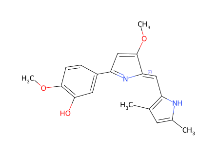 COC1=CC(c2ccc(OC)c(O)c2)=N/C1=C\c1[nH]c(C)cc1C